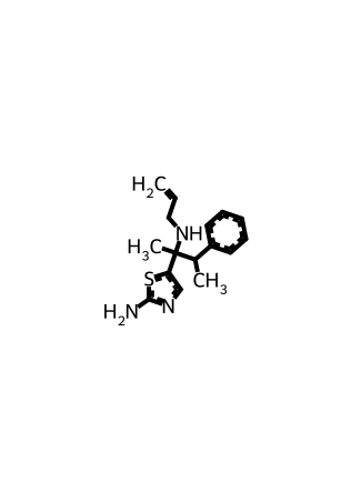 C=CCNC(C)(c1cnc(N)s1)C(C)c1ccccc1